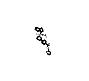 C[C@@H](NC1CCCC(c2ccc(C(=O)OCC3CCCO3)cc2)C1)c1cccc2ccccc12